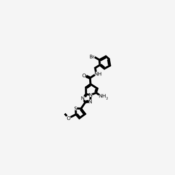 COc1ccc(-c2nc3cc(C(=O)NCc4ccccc4Br)cc(N)n3n2)s1